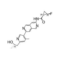 Cc1cc(C[C@H](C)O)ncc1-c1cc2cnc(NC(=O)[C@H]3C[C@H]3F)cc2cn1